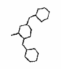 CC1CC(CC2CCCCC2)CCC1CC1CCCCC1